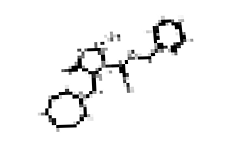 CC(C)(C)[C@H]1OC(=O)[C@H](CC2CCCCCC2)N1C(=O)OCc1ccccc1